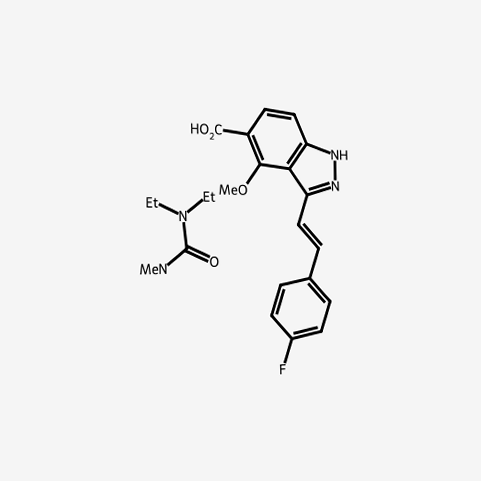 CCN(CC)C(=O)NC.COc1c(C(=O)O)ccc2[nH]nc(/C=C/c3ccc(F)cc3)c12